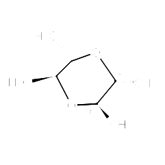 C[C@@H]1O[C@H](C)[C@@H](C)O[C@H]1C